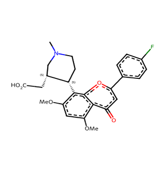 COc1cc(OC)c2c(=O)cc(-c3ccc(F)cc3)oc2c1[C@H]1CCN(C)C[C@H]1CC(=O)O